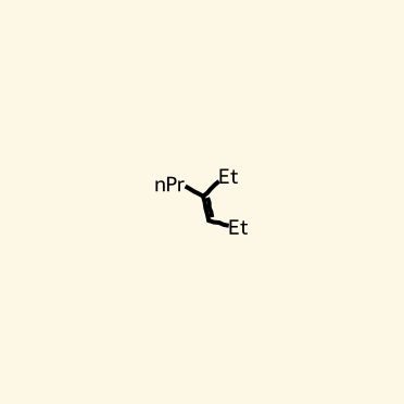 [CH2]C/C=C(\CC)CCC